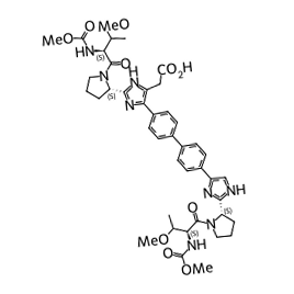 COC(=O)N[C@H](C(=O)N1CCC[C@H]1c1nc(-c2ccc(-c3ccc(-c4nc([C@@H]5CCCN5C(=O)[C@@H](NC(=O)OC)C(C)OC)[nH]c4CC(=O)O)cc3)cc2)c[nH]1)C(C)OC